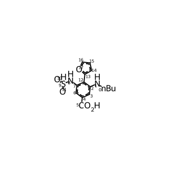 CCCCNc1cc(C(=O)O)cc(N[SH](=O)=O)c1-c1ccco1